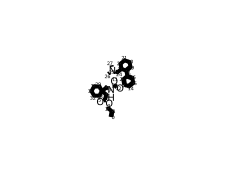 C=CCOC(=O)CC1(CNC(=O)Oc2cccc(C3=CCCCC3CN(C)C)c2)CCCCC1